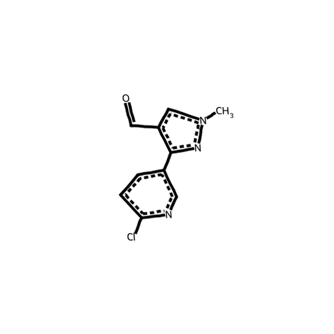 Cn1cc(C=O)c(-c2ccc(Cl)nc2)n1